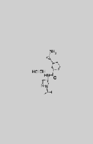 CC(I)n1cc(NC(=O)c2cccc(C3CC3N)c2)cn1.Cl.Cl